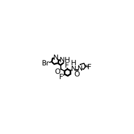 O=C(c1c(F)ccc(NC(=O)N2CC[C@@H](F)C2)c1F)c1c[nH]c2ncc(Br)cc12